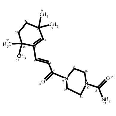 CC1(C)C=C(C=CC(=O)N2CCN(C(N)=O)CC2)C(C)(C)CC1